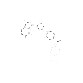 CN(C)C1CCN(C(=O)c2ccc(-n3cc(-c4n[nH]c5ccc(C(F)(F)F)cc45)nn3)cc2)CC1